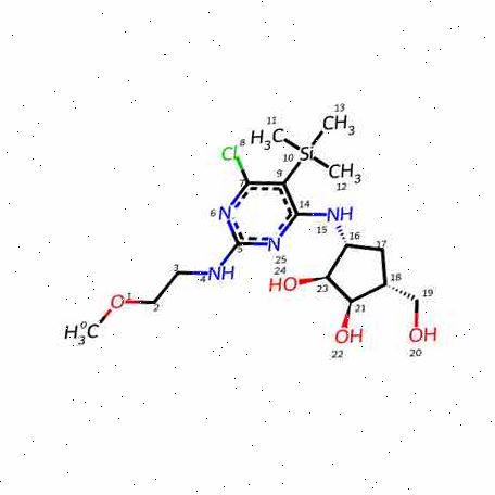 COCCNc1nc(Cl)c([Si](C)(C)C)c(N[C@@H]2C[C@H](CO)[C@@H](O)[C@H]2O)n1